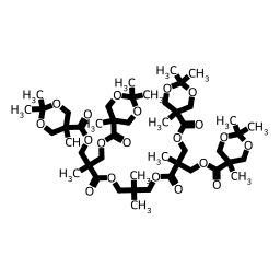 CC(C)(COC(=O)C(C)(COC(=O)C1(C)COC(C)(C)OC1)COC(=O)C1(C)COC(C)(C)OC1)COC(=O)C(C)(COC(=O)C1(C)COC(C)(C)OC1)COC(=O)C1(C)COC(C)(C)OC1